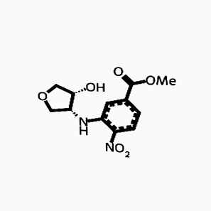 COC(=O)c1ccc([N+](=O)[O-])c(N[C@@H]2COC[C@@H]2O)c1